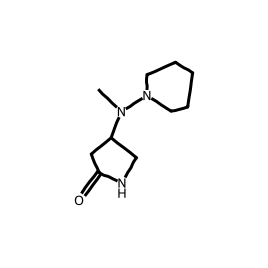 CN(C1CNC(=O)C1)N1CCCCC1